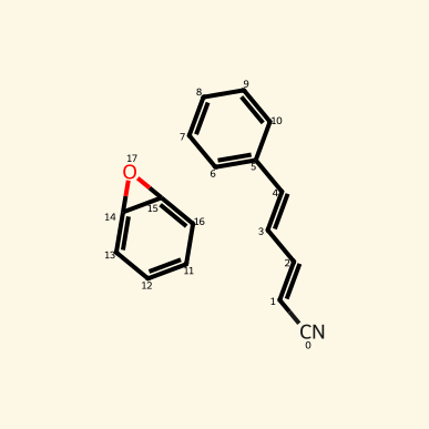 N#CC=CC=Cc1ccccc1.c1ccc2c(c1)O2